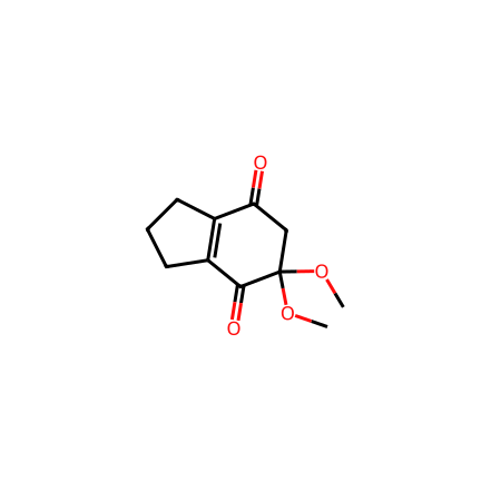 COC1(OC)CC(=O)C2=C(CCC2)C1=O